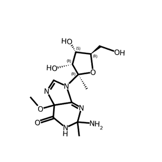 COC12N=CN([C@]3(C)O[C@H](CO)[C@@H](O)[C@H]3O)C1=NC(C)(N)NC2=O